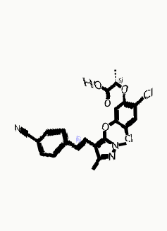 Cc1nn(C)c(Oc2cc(O[C@@H](C)C(=O)O)c(Cl)cc2Cl)c1/C=C/c1ccc(C#N)cc1